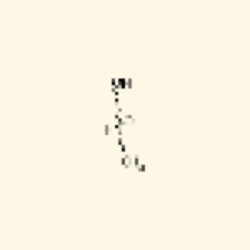 CCCCCNC(=O)CCCCCO